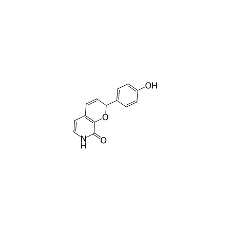 O=c1[nH]ccc2c1OC(c1ccc(O)cc1)C=C2